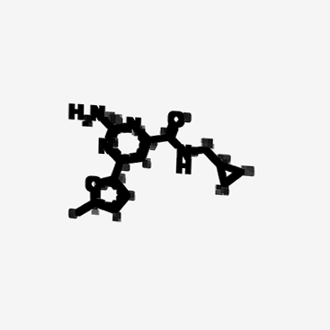 Cc1ccc(-c2cc(C(=O)NCC3CC3)nc(N)n2)o1